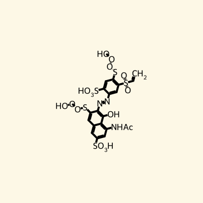 C=CS(=O)(=O)c1cc(N=Nc2c(SOOO)cc3cc(S(=O)(=O)O)cc(NC(C)=O)c3c2O)c(S(=O)(=O)O)cc1SOOO